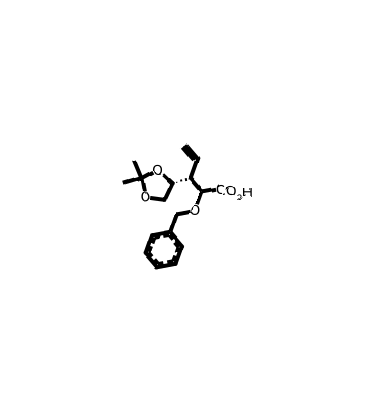 C=CC(C(OCc1ccccc1)C(=O)O)[C@@H]1COC(C)(C)O1